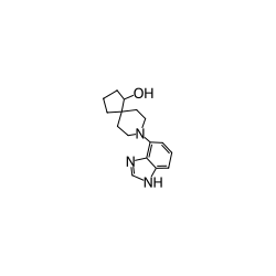 OC1CCCC12CCN(c1cccc3[nH]cnc13)CC2